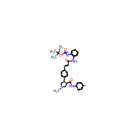 CN1CC(C(=O)Nc2ccc(F)cc2)C(c2ccc(C=CC(=O)Nc3ccccc3NC(=O)OC(C)(C)C)cc2)C1